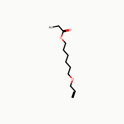 C=CCOCCCCCCOC(=O)CC(C)=O